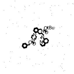 CN(CC1Cc2c(cccc2N2CCN(C(=O)OCc3ccccc3)CC2)CN1C(=O)OC(C)(C)C)[C@H]1CCCc2cccnc21